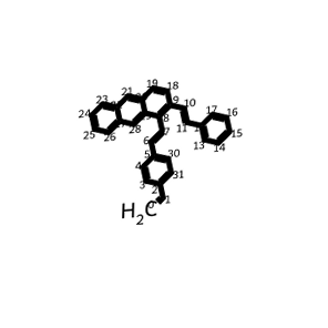 C=Cc1ccc(C=Cc2c(C=Cc3ccccc3)ccc3cc4ccccc4cc23)cc1